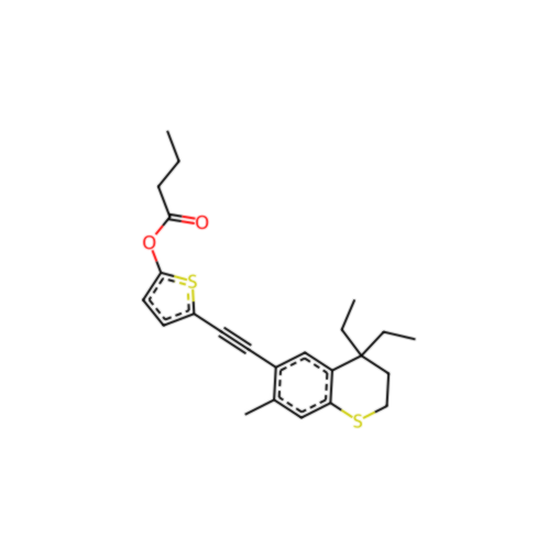 CCCC(=O)Oc1ccc(C#Cc2cc3c(cc2C)SCCC3(CC)CC)s1